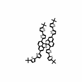 CC(C)(C)c1ccc(-c2ccc(-c3cc4c5c(c(-c6ccc(-c7ccc(C(C)(C)C)s7)s6)ccc5c3)[C@@]3(C4)Sc4cc(-c5ccc(-c6ccc(C(C)(C)C)s6)s5)cc5ccc(-c6ccc(-c7ccc(C(C)(C)C)s7)s6)c3c45)s2)s1